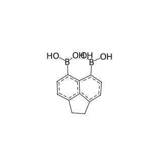 OB(O)c1ccc2c3c(ccc(B(O)O)c13)CC2